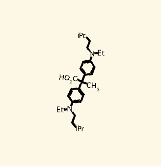 CCN(CCC(C)C)c1ccc(C(C)(C(=O)O)c2ccc(N(CC)CCC(C)C)cc2)cc1